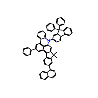 CC1(C)c2cc(-c3cccc4ccccc34)ccc2-c2ccc(N(c3ccc4c(c3)C(c3ccccc3)(c3ccccc3)c3ccccc3-4)c3ccccc3-c3cccc(-c4ccccc4)c3)cc21